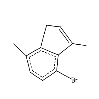 CC1=CCc2c(C)ccc(Br)c21